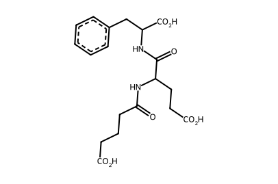 O=C(O)CCCC(=O)NC(CCC(=O)O)C(=O)NC(Cc1ccccc1)C(=O)O